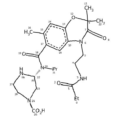 CCC(=O)NCCN1C(=O)C(C)(C)Oc2cc(C)c(C(=O)N(C(C)C)[C@@H]3CN(C(=O)O)CCN3)cc21